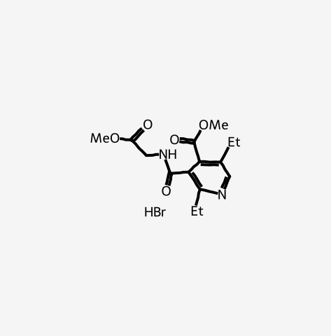 Br.CCc1cnc(CC)c(C(=O)NCC(=O)OC)c1C(=O)OC